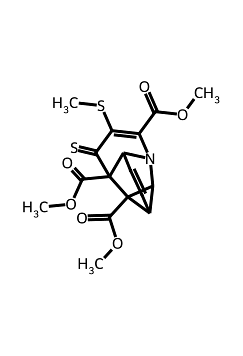 COC(=O)C1=C(SC)C(=S)C2(C(=O)OC)C3C=CC4C(N13)C42C(=O)OC